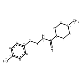 CN1CCC(C(=O)NCCc2ccc(O)cc2)CC1